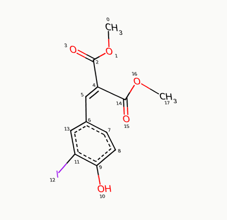 COC(=O)C(=Cc1ccc(O)c(I)c1)C(=O)OC